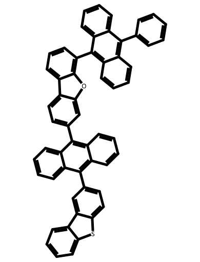 c1ccc(-c2c3ccccc3c(-c3cccc4c3oc3cc(-c5c6ccccc6c(-c6ccc7sc8ccccc8c7c6)c6ccccc56)ccc34)c3ccccc23)cc1